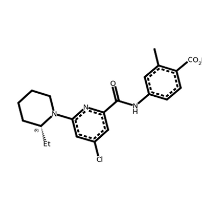 CC[C@@H]1CCCCN1c1cc(Cl)cc(C(=O)Nc2ccc(C(=O)O)c(C)c2)n1